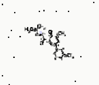 Cc1cn(-c2cccc(C(F)(F)F)c2)nc(C(=O)/C=C/N(C)C)c1=O